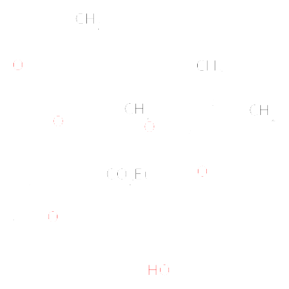 C=C(C)C(=O)OCCO.C=CC(=O)OCC.C=CC(=O)OCC1CO1